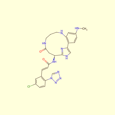 CNc1ccc2c(c1)NCCCNC(=O)C[C@H](NC(=O)/C=C/c1cc(Cl)ccc1-n1cnnn1)c1nc-2c[nH]1